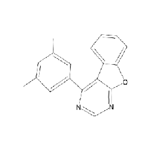 Cc1cc(C)cc(-c2ncnc3oc4ccccc4c23)c1